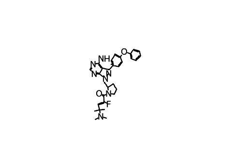 CN(C)C(C)(C)C=C(F)C(=O)N1CCCC1Cn1nc(-c2ccc(Oc3ccccc3)cc2)c2c(N)ncnc21